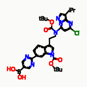 CC(C)c1cnn2c(N(CCc3cn(C(=O)OC(C)(C)C)c4cc(-c5ncc(B(O)O)cn5)ccc34)C(=O)OC(C)(C)C)cc(Cl)nc12